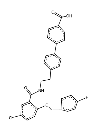 O=C(O)c1ccc(-c2ccc(CCNC(=O)c3cc(Cl)ccc3OCc3ccc(F)cc3)cc2)cc1